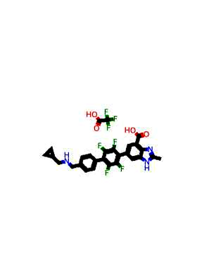 Cc1nc2c(C(=O)O)cc(-c3c(F)c(F)c(-c4ccc(CNCC5CC5)cc4)c(F)c3F)cc2[nH]1.O=C(O)C(F)(F)F